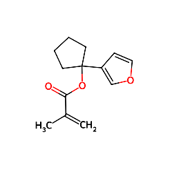 C=C(C)C(=O)OC1(c2ccoc2)CCCC1